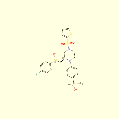 C[C@](O)(c1ccc(N2CCN(S(=O)(=O)c3cccs3)C[C@@H]2C[S@@+]([O-])c2ccc(F)cc2)cc1)C(F)(F)F